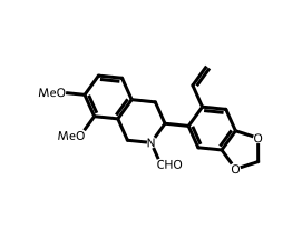 C=Cc1cc2c(cc1C1Cc3ccc(OC)c(OC)c3CN1C=O)OCO2